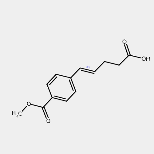 COC(=O)c1ccc(/C=C/CCC(=O)O)cc1